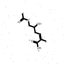 CC(=O)SCC(O)CC=C(C)C(=O)O